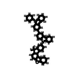 CC1(C)c2cc(-n3c4ccccc4c4cc(-c5ccc6c(c5)c5ccccc5n6-c5ccccc5)ccc43)ccc2-c2c1ccc1oc3ccccc3c21